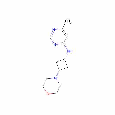 Cc1cc(N[C@H]2C[C@@H](N3CCOCC3)C2)ncn1